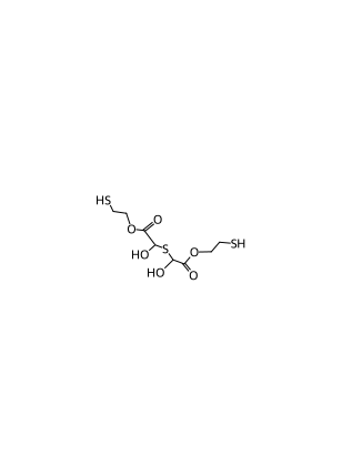 O=C(OCCS)C(O)SC(O)C(=O)OCCS